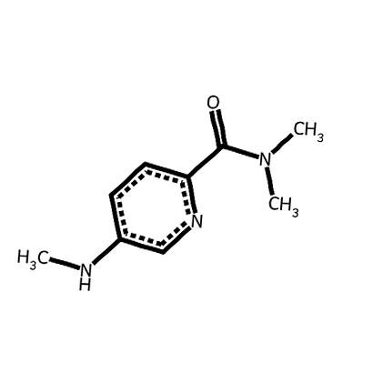 CNc1ccc(C(=O)N(C)C)nc1